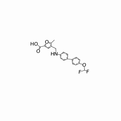 Cc1oc(C(=O)O)cc1CNc1ccc(-c2ccc(OC(F)F)cc2)cc1